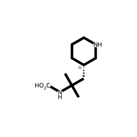 CC(C)(C[C@@H]1CCCNC1)NC(=O)O